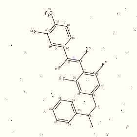 CC(Cc1cc(F)c(/C(F)=C(\F)c2ccc(C(F)(F)F)c(F)c2)c(F)c1)c1ccccc1